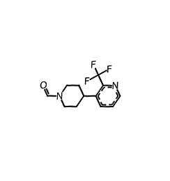 O=CN1CCC(c2cccnc2C(F)(F)F)CC1